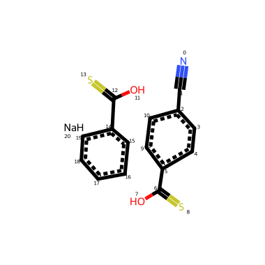 N#Cc1ccc(C(O)=S)cc1.OC(=S)c1ccccc1.[NaH]